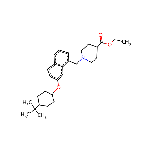 CCOC(=O)C1CCN(Cc2cccc3ccc(OC4CCC(C(C)(C)C)CC4)cc23)CC1